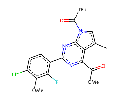 COC(=O)c1nc(-c2ccc(Cl)c(OC)c2F)nc2c1c(C)cn2C(=O)C(C)(C)C